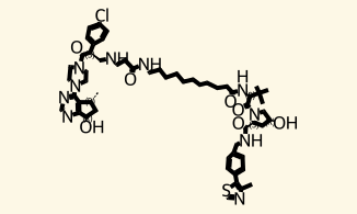 Cc1ncsc1-c1ccc(CNC(=O)[C@@H]2C[C@@H](O)CN2C(=O)[C@@H](NC(=O)CCCCCCCCCCNC(=O)CCNC[C@@H](C(=O)N2CCN(c3ncnc4c3[C@H](C)C[C@H]4O)CC2)c2ccc(Cl)cc2)C(C)(C)C)cc1